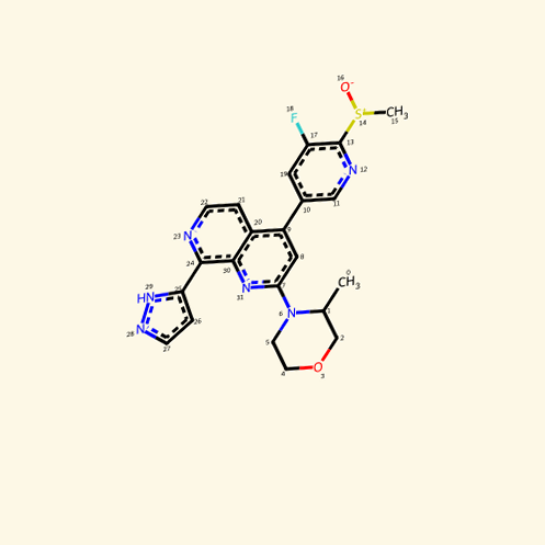 CC1COCCN1c1cc(-c2cnc([S+](C)[O-])c(F)c2)c2ccnc(-c3ccn[nH]3)c2n1